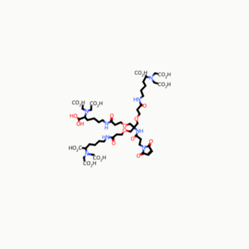 O=C(O)CN(CC(=O)O)C(CCCCNC(=O)CCOCC(COCCC(=O)NCCCCC(C(=O)O)N(CC(=O)O)CC(=O)O)(COCCC(=O)NCCCCC(C(O)O)N(CC(=O)O)CC(=O)O)NC(=O)CCN1C(=O)C=CC1=O)C(=O)O